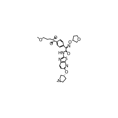 COCCCS(=O)(=O)c1ccc(/C(=N\O[C@@H]2CCOC2)C(=O)Nc2nc3ccc(O[C@@H]4CCN(C)C4)nc3s2)cc1